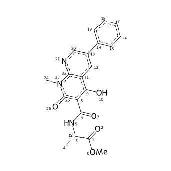 COC(=O)[C@H](C)NC(=O)c1c(O)c2cc(-c3ccccc3)cnc2n(C)c1=O